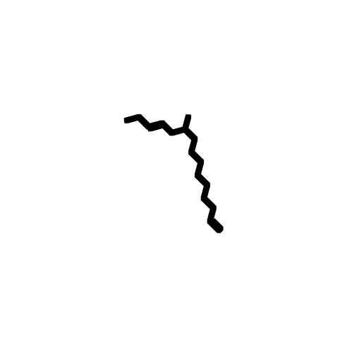 C=CCCCCCCCC(C)CC=CCC